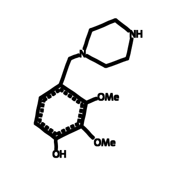 COc1c(O)ccc(CN2CCNCC2)c1OC